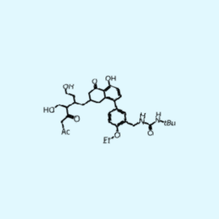 CCOc1ccc(-c2ccc(O)c3c2CC(CC(CCO)C(CO)C(=O)CC(C)=O)CC3=O)cc1CNC(=O)NC(C)(C)C